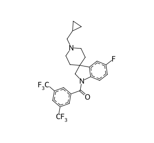 O=C(c1cc(C(F)(F)F)cc(C(F)(F)F)c1)N1CC2(CCN(CC3CC3)CC2)c2cc(F)ccc21